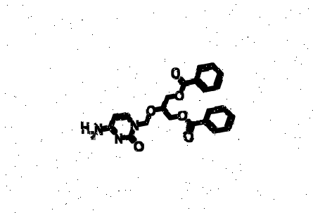 Nc1ccn(COC(COC(=O)c2ccccc2)COC(=O)c2ccccc2)c(=O)n1